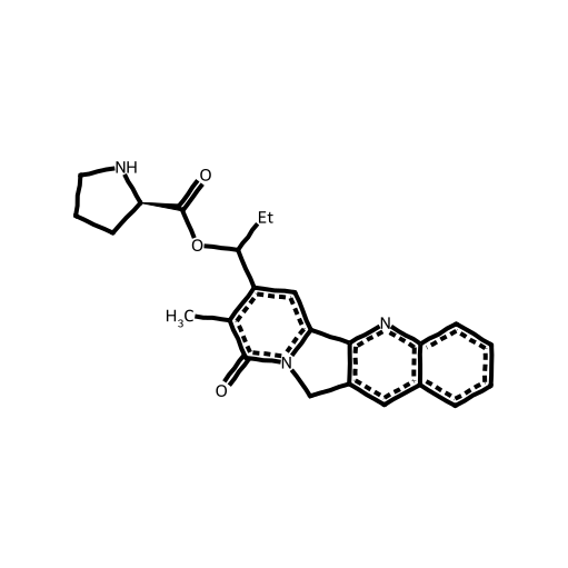 CCC(OC(=O)[C@H]1CCCN1)c1cc2n(c(=O)c1C)Cc1cc3ccccc3nc1-2